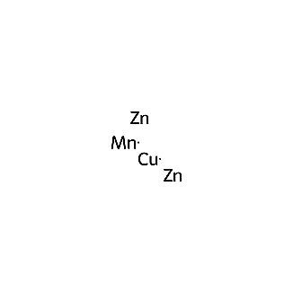 [Cu].[Mn].[Zn].[Zn]